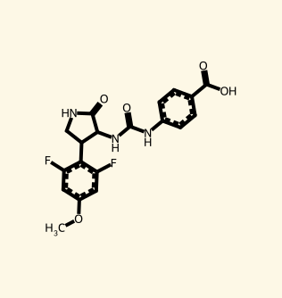 COc1cc(F)c(C2CNC(=O)C2NC(=O)Nc2ccc(C(=O)O)cc2)c(F)c1